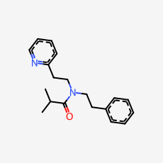 CC(C)C(=O)N(CCc1ccccc1)CCc1ccccn1